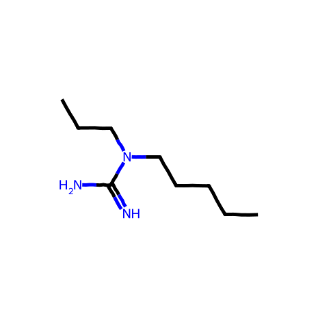 CCCCCN(CCC)C(=N)N